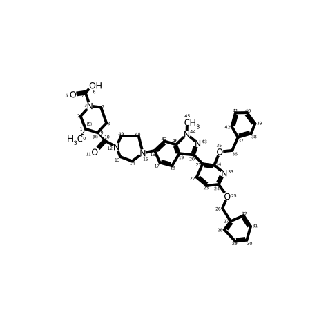 C[C@@H]1CN(C(=O)O)CC[C@H]1C(=O)N1CCN(c2ccc3c(-c4ccc(OCc5ccccc5)nc4OCc4ccccc4)nn(C)c3c2)CC1